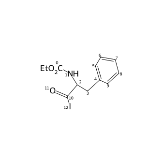 CCOC(=O)NC(Cc1ccccc1)C(=O)I